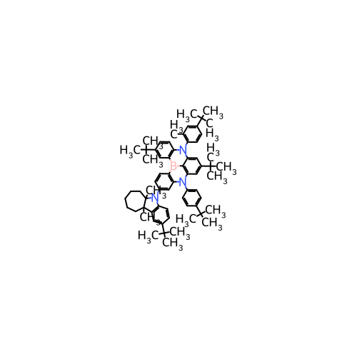 Cc1cc(C(C)(C)C)ccc1N1c2ccc(C(C)(C)C)cc2B2c3ccc(N4c5ccc(C(C)(C)C)cc5C5(C)CCCCCC45C)cc3N(c3ccc(C(C)(C)C)cc3)c3cc(C(C)(C)C)cc1c32